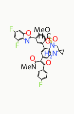 CNC(=O)c1c(-c2ccc(F)cc2)oc2cc(N(CC3(N)CC3)S(C)(=O)=O)c(-c3ccc(OC)c(-c4nc5c(F)cc(F)cc5o4)c3)cc12